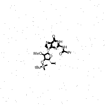 COC1C(O[Si](C)(C)C(C)(C)C)[C@@H](CI)O[C@H]1n1cnc2c(=O)[nH]c(NC(=O)C(C)C)nc21